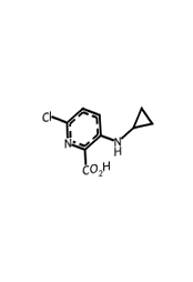 O=C(O)c1nc(Cl)ccc1NC1CC1